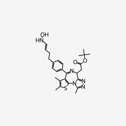 Cc1sc2c(c1C)C(c1ccc(CCC=CNO)cc1)=NC(CC(=O)OC(C)(C)C)c1nnc(C)n1-2